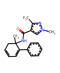 Cn1cc(C(=O)NC2(C(F)(F)F)CC=CC=C2c2ccccc2)c(C(F)(F)F)n1